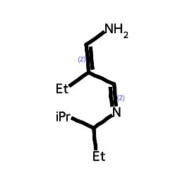 CCC(/C=N\C(CC)C(C)C)=C/N